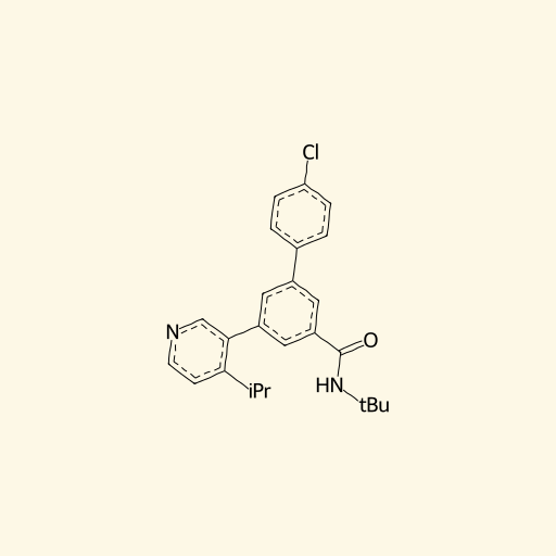 CC(C)c1ccncc1-c1cc(C(=O)NC(C)(C)C)cc(-c2ccc(Cl)cc2)c1